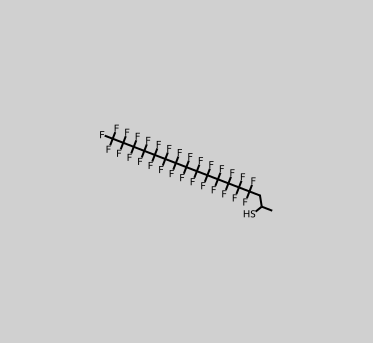 CC(S)CC(F)(F)C(F)(F)C(F)(F)C(F)(F)C(F)(F)C(F)(F)C(F)(F)C(F)(F)C(F)(F)C(F)(F)C(F)(F)C(F)(F)C(F)(F)C(F)(F)F